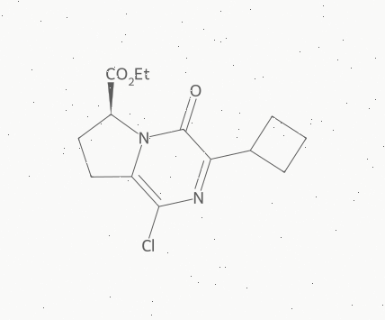 CCOC(=O)[C@@H]1CCc2c(Cl)nc(C3CCC3)c(=O)n21